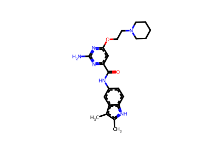 Cc1[nH]c2ccc(NC(=O)c3cc(OCCN4CCCCC4)nc(N)n3)cc2c1C